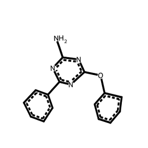 Nc1nc(Oc2ccccc2)nc(-c2ccccc2)n1